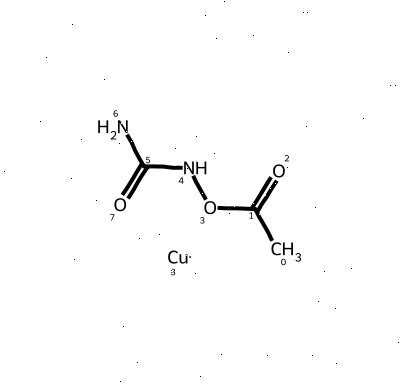 CC(=O)ONC(N)=O.[Cu]